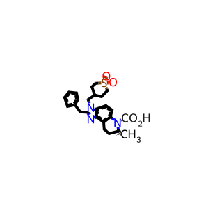 C[C@H]1CCc2c(ccc3c2nc(Cc2ccccc2)n3CC2CCS(=O)(=O)CC2)N1C(=O)O